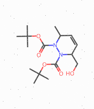 CC1C=CC(CO)N(C(=O)OC(C)(C)C)N1C(=O)OC(C)(C)C